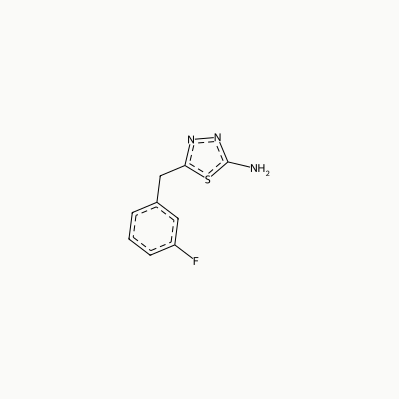 Nc1nnc(Cc2cccc(F)c2)s1